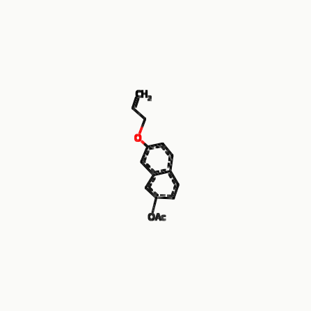 C=CCOc1ccc2ccc(OC(C)=O)cc2c1